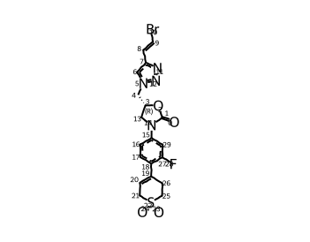 O=C1O[C@@H](Cn2cc(C=CBr)nn2)CN1c1ccc(C2=CCS(=O)(=O)CC2)c(F)c1